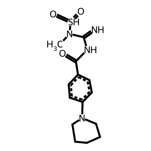 CN(C(=N)NC(=O)c1ccc(N2CCCCC2)cc1)[SH](=O)=O